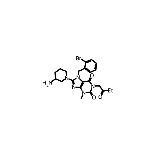 CCC(=O)Cn1c(=O)c2c(nc(N3CCCC(N)C3)n2Cc2ccccc2Br)n(C)c1=O